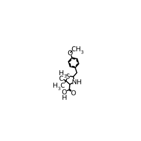 COc1ccc(CC2NC(C(=O)O)C(C)(C)S2)cc1